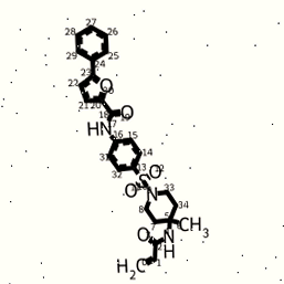 C=CC(=O)NC1(C)CCN(S(=O)(=O)c2ccc(NC(=O)c3ccc(-c4ccccc4)o3)cc2)CC1